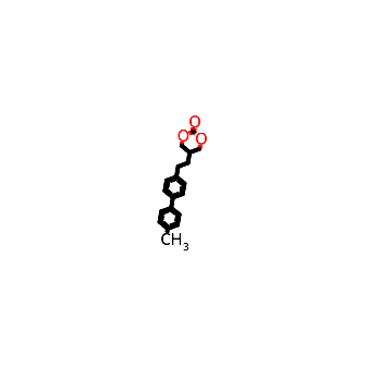 Cc1ccc(-c2ccc(CCC3COC(=O)OC3)cc2)cc1